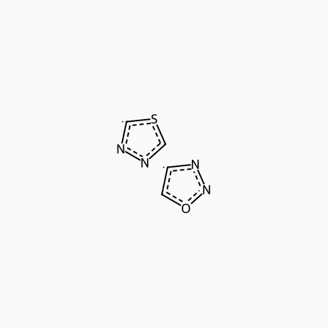 [c]1conn1.[c]1nncs1